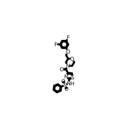 O=C(c1csc(NS(=O)(=O)c2ccccc2)n1)N1CCOC(COc2cc(F)cc(F)c2)C1